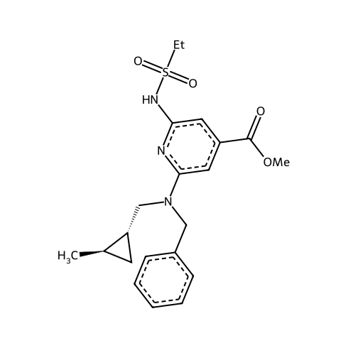 CCS(=O)(=O)Nc1cc(C(=O)OC)cc(N(Cc2ccccc2)C[C@@H]2C[C@H]2C)n1